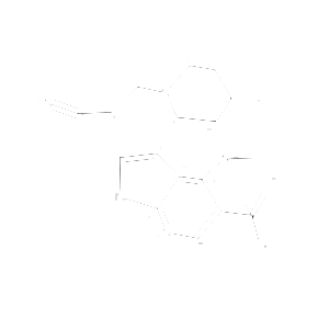 C[C@H]1CCN(CCC#N)C[C@H]1N(C)c1c(C(=O)O)cnc2[nH]ccc12